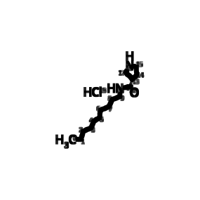 CCCCCCCCCCNC(=O)[C@H]1CCNC1.Cl